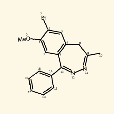 COc1cc2c(cc1Br)CC(C)=NN=C2c1ccccc1